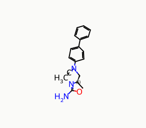 CCN(C[C@H]1COC(N)=N1)c1ccc(-c2ccccc2)cc1